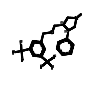 CN1C[C@H](COCc2cc(C(F)(F)F)cc(C(F)(F)F)c2)[C@H](c2ccccc2)C1